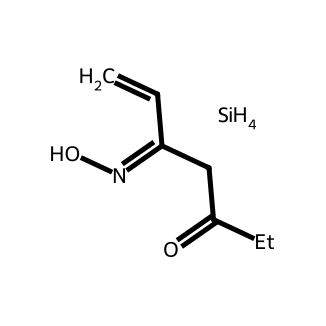 C=CC(CC(=O)CC)=NO.[SiH4]